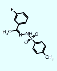 C/C(=N/NS(=O)(=O)c1ccc(C)cc1)c1cccc(F)c1